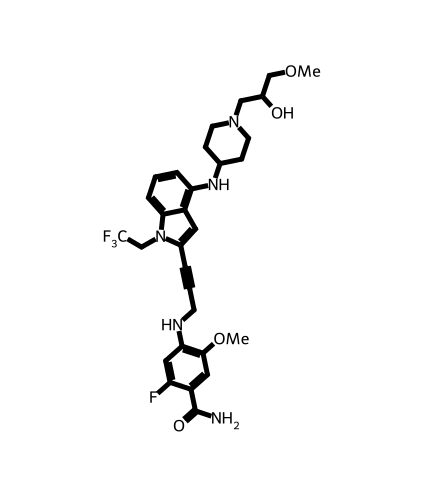 COCC(O)CN1CCC(Nc2cccc3c2cc(C#CCNc2cc(F)c(C(N)=O)cc2OC)n3CC(F)(F)F)CC1